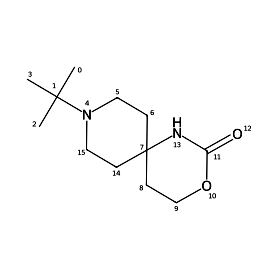 CC(C)(C)N1CCC2(CCOC(=O)N2)CC1